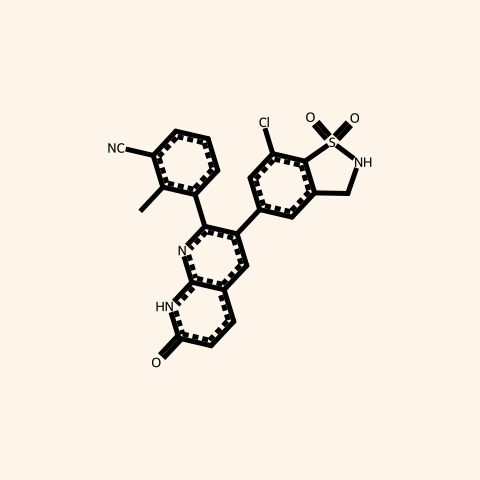 Cc1c(C#N)cccc1-c1nc2[nH]c(=O)ccc2cc1-c1cc(Cl)c2c(c1)CNS2(=O)=O